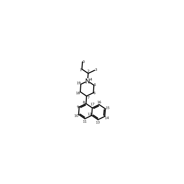 CCC(C)N1CCC(c2cccc3ccccc23)CC1